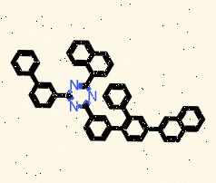 c1ccc(-c2cccc(-c3nc(-c4cccc(-c5ccc(-c6ccc7ccccc7c6)cc5-c5ccccc5)c4)nc(-c4cccc5ccccc45)n3)c2)cc1